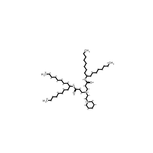 CCCCCCCCC(CCCCCCCC)OC(=O)CCN(CCC(=O)OC(CCCCCCCC)CCCCCCCC)CCN1CCCCC1